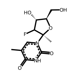 Cc1cn([C@]2(C)O[C@H](CO)[C@@H](O)C2F)c(=O)[nH]c1=O